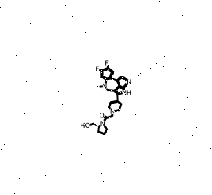 CN1Cc2c(C3=CCN(CC(=O)N4CCC[C@H]4CO)CC3)[nH]c3nccc(c23)-c2cc(F)c(F)cc21